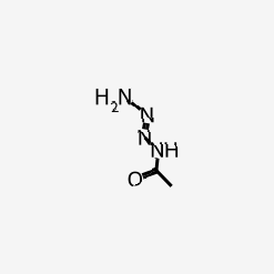 CC(=O)NN=NN